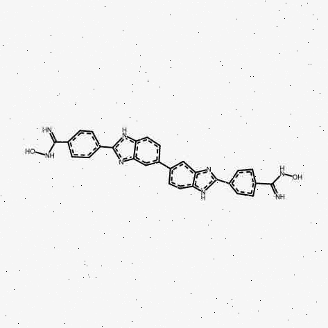 N=C(NO)c1ccc(-c2nc3cc(-c4ccc5[nH]c(-c6ccc(C(=N)NO)cc6)nc5c4)ccc3[nH]2)cc1